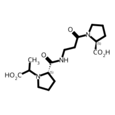 CC(C(=O)O)N1CCC[C@H]1C(=O)NCCC(=O)N1CCC[C@H]1C(=O)O